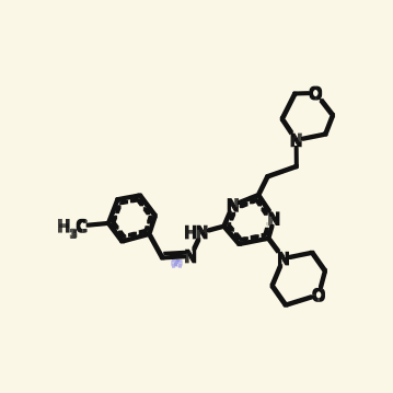 Cc1cccc(/C=N\Nc2cc(N3CCOCC3)nc(CCN3CCOCC3)n2)c1